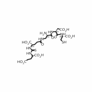 N[C@@H](CNC(=O)CC[C@H](NC(=S)N[C@@H](CCC(=O)O)C(=O)O)C(=O)O)C(=O)N[C@@H](CC(=O)O)C(=O)N[C@@H](CS)C(=O)O